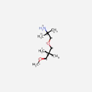 COCC(C)(C)COCC(C)(C)N